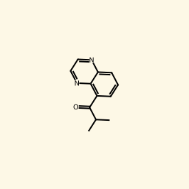 CC(C)C(=O)c1cccc2nccnc12